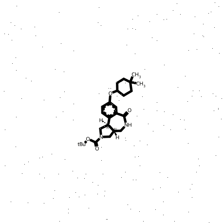 CC1(C)CCC(Oc2ccc3c(c2)C(=O)NC[C@@H]2CN(C(=O)OC(C)(C)C)C[C@@H]32)CC1